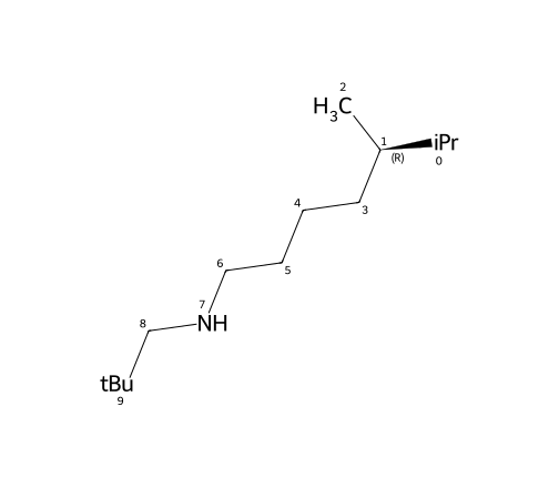 CC(C)[C@H](C)CCCCNCC(C)(C)C